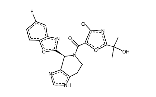 CC(C)(O)c1nc(Cl)c(C(=O)N2CCc3[nH]cnc3[C@H]2c2nc3cc(F)ccc3o2)o1